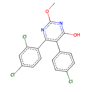 COc1nc(O)c(-c2ccc(Cl)cc2)c(-c2ccc(Cl)cc2Cl)n1